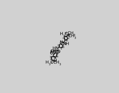 COc1c(NC(=O)Nc2ccc3[nH]c(-c4ccc(C(C)(C)C)cc4)nc3c2)ccc2c1C=CC(C)(C)O2